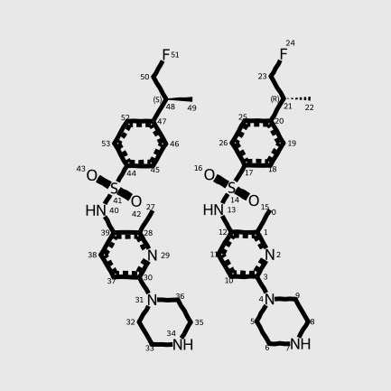 Cc1nc(N2CCNCC2)ccc1NS(=O)(=O)c1ccc([C@@H](C)CF)cc1.Cc1nc(N2CCNCC2)ccc1NS(=O)(=O)c1ccc([C@H](C)CF)cc1